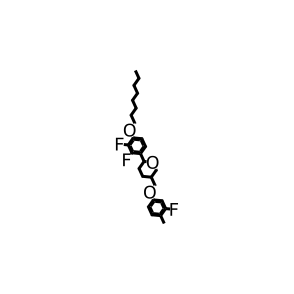 CCCCCCCCOc1ccc(C2CCC(COc3ccc(C)c(F)c3)CO2)c(F)c1F